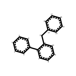 [c]1ccccc1-c1ccccc1Cc1ccccc1